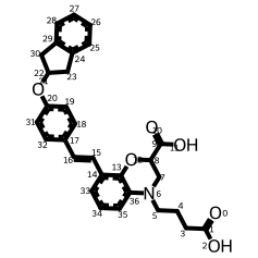 O=C(O)CCCN1CC(C(=O)O)Oc2c(C=Cc3ccc(OC4Cc5ccccc5C4)cc3)cccc21